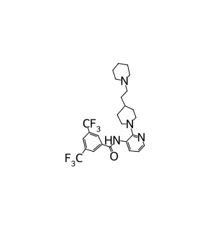 O=C(Nc1cccnc1N1CCC(CCN2CCCCC2)CC1)c1cc(C(F)(F)F)cc(C(F)(F)F)c1